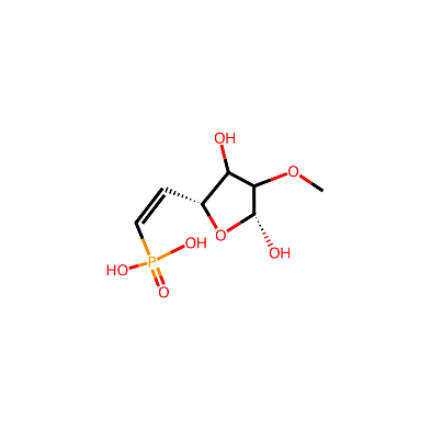 COC1C(O)[C@@H](/C=C\P(=O)(O)O)O[C@H]1O